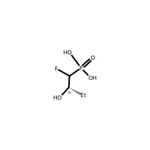 CC[C@H](O)C(F)P(=O)(O)O